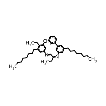 CCCCCCCCc1cc(N=C(C=Nc2cc(C)c(CC)c(CCCCCCCC)c2)CC)cc(-c2ccccc2)c1